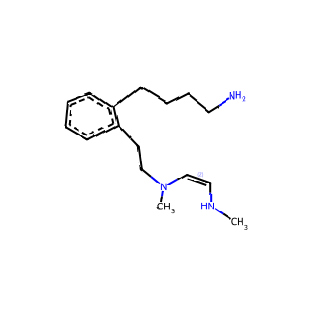 CN/C=C\N(C)CCc1ccccc1CCCCN